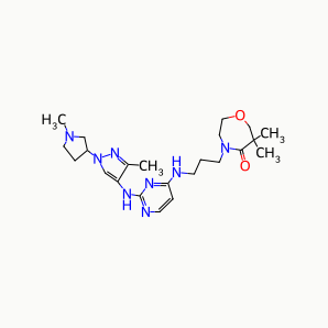 Cc1nn(C2CCN(C)C2)cc1Nc1nccc(NCCCN2CCOCC(C)(C)C2=O)n1